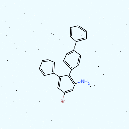 Nc1cc(Br)cc(-c2ccccc2)c1-c1ccc(-c2ccccc2)cc1